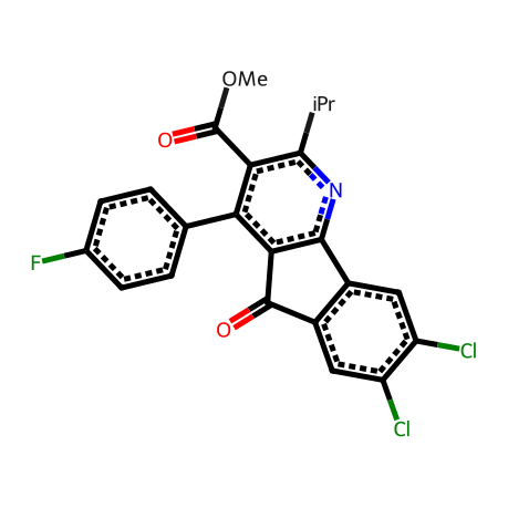 COC(=O)c1c(C(C)C)nc2c(c1-c1ccc(F)cc1)C(=O)c1cc(Cl)c(Cl)cc1-2